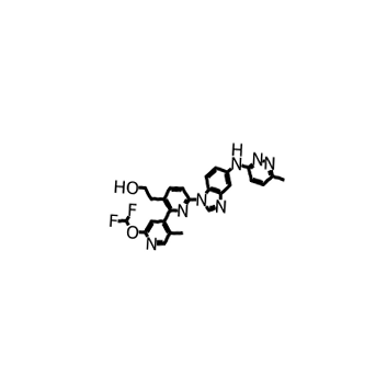 Cc1ccc(Nc2ccc3c(c2)ncn3-c2ccc(CCO)c(-c3cc(OC(F)F)ncc3C)n2)nn1